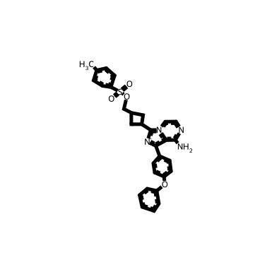 Cc1ccc(S(=O)(=O)OCC2CC(c3nc(-c4ccc(Oc5ccccc5)cc4)c4c(N)nccn34)C2)cc1